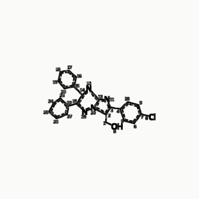 OCc1c(-c2ccc(Cl)cc2)nc2nc(-c3ccccc3)c(-c3ccccc3)nn12